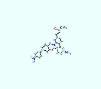 COC(=O)/C=C/c1cccc(N(Cc2ccc(-c3ccc(N(C)C)cc3)cc2)C(=O)[C@H]2CC[C@H](N)CC2)c1